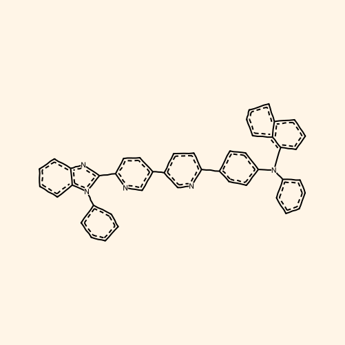 c1ccc(N(c2ccc(-c3ccc(-c4ccc(-c5nc6ccccc6n5-c5ccccc5)nc4)cn3)cc2)c2cccc3ccccc23)cc1